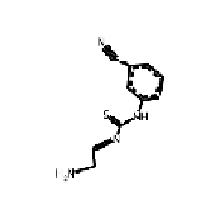 N#Cc1cccc(NC(=S)N=CCN)c1